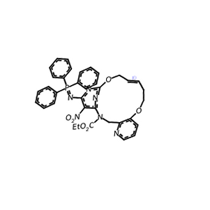 CCOC(=O)N1Cc2ncccc2OCC/C=C/COc2nc(N=P(c3ccccc3)(c3ccccc3)c3ccccc3)c([N+](=O)[O-])c1n2